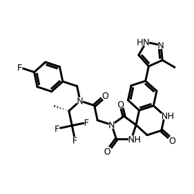 Cc1n[nH]cc1-c1ccc2c(c1)NC(=O)CC21NC(=O)N(CC(=O)N(Cc2ccc(F)cc2)[C@@H](C)C(F)(F)F)C1=O